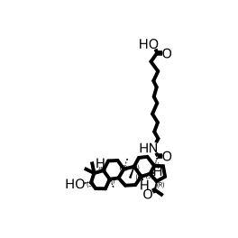 CC(=O)[C@@H]1CC[C@]2(C(=O)NCCCCCCCCCCC(=O)O)CC[C@]3(C)[C@H](CCC4[C@@]5(C)CC[C@H](O)C(C)(C)[C@@H]5CC[C@]43C)[C@@H]12